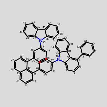 c1ccc(-c2cccc3c2c2ccccc2n3-c2ccc(-c3cccc4cccc(-c5cccc(-n6c7ccccc7c7ccccc76)c5)c34)cc2)cc1